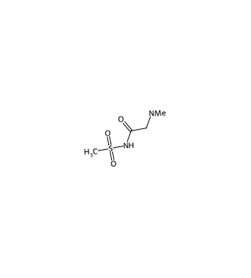 CNCC(=O)NS(C)(=O)=O